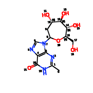 Cc1nc2c(ncn2C2C[C@H](O)[C@@H](O)[C@H](O)[C@@H](CO)O2)c(=O)[nH]1